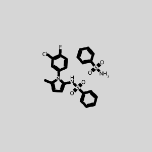 Cc1ccc(NS(=O)(=O)c2ccccc2)n1-c1ccc(F)c(Cl)c1.NS(=O)(=O)c1ccccc1